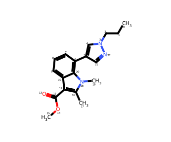 CCCn1cc(-c2cccc3c(C(=O)OC)c(C)n(C)c23)cn1